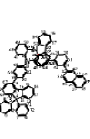 c1ccc(C2(c3ccccc3)c3ccccc3-c3c(-c4ccc(N(c5ccc(-c6cccc(-c7ccc8ccccc8c7)c6)cc5)c5ccccc5-n5c6ccccc6c6ccccc65)cc4)cccc32)cc1